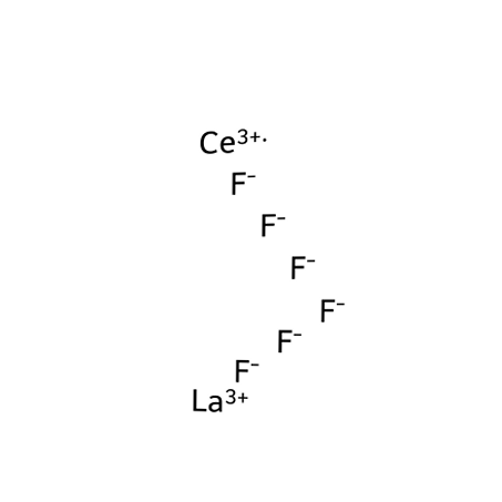 [Ce+3].[F-].[F-].[F-].[F-].[F-].[F-].[La+3]